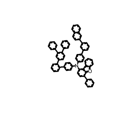 c1ccc(-c2ccc(-c3ccccc3-c3ccc(N(c4ccc(-c5cccc(-c6ccc7ccccc7c6)c5)cc4)c4ccc(-c5ccccc5)c5oc6ccccc6c45)cc3)cc2-c2ccccc2)cc1